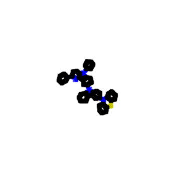 c1ccc(-c2ccc3c(n2)c2cc(-n4c5ccccc5c5cc(N6c7ccccc7Sc7ccccc76)ccc54)ccc2n3-c2ccccc2)cc1